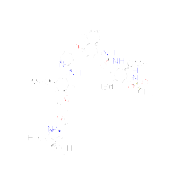 COc1cc(Nc2cc(Oc3ccc(NC(=O)Nc4cc(C(C)(C)C)cc(NS(C)(=O)=O)c4OC)c4ccccc34)ccn2)cc(OCCOCn2cc(C(=O)O)c(C)n2)c1